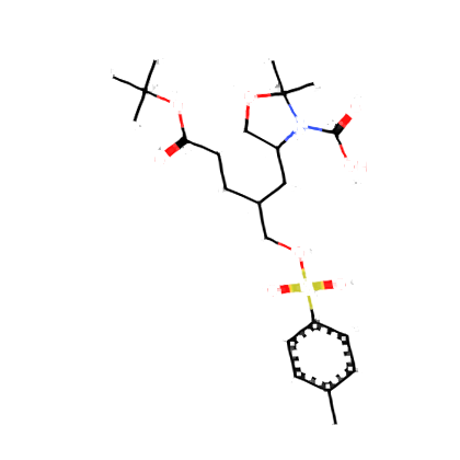 Cc1ccc(S(=O)(=O)OCC(CCC(=O)OC(C)(C)C)CC2COC(C)(C)N2C(=O)O)cc1